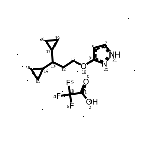 O=C(O)C(F)(F)F.c1cc(OCCC(C2CC2)C2CC2)n[nH]1